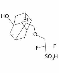 CCC1C2CC3CC1(O)CC(C2)C3COCC(F)(F)S(=O)(=O)O